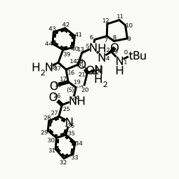 CC(C)(C)NC(=O)NN(CC1CCCCC1)C[C@H](O)C(C(=O)[C@H](CC(N)=O)NC(=O)c1ccc2ccccc2n1)C(N)c1ccccc1